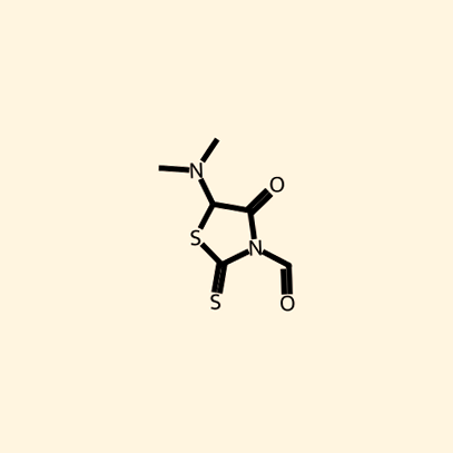 CN(C)C1SC(=S)N(C=O)C1=O